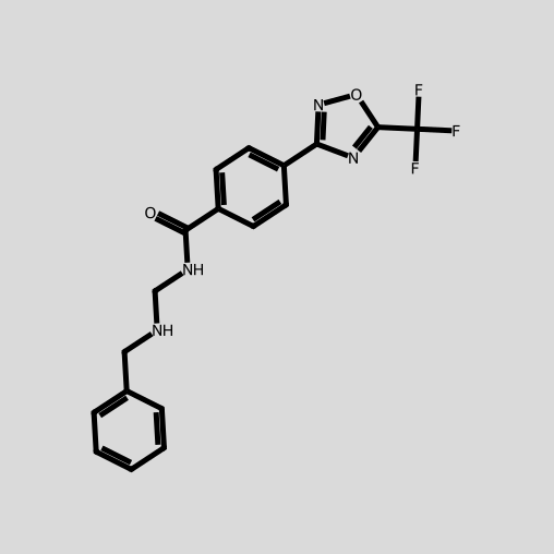 O=C(NCNCc1ccccc1)c1ccc(-c2noc(C(F)(F)F)n2)cc1